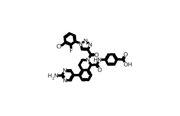 Nc1ncc(-c2cccc3c2CCN(C(=O)c2cn(-c4cccc(Cl)c4F)nn2)C3C(=O)Nc2ccc(C(=O)O)cc2)cn1